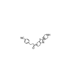 N#Cc1ccc(CCC(=O)N2CCc3nc(N4C5CCC4CNC5)sc3C2)cc1